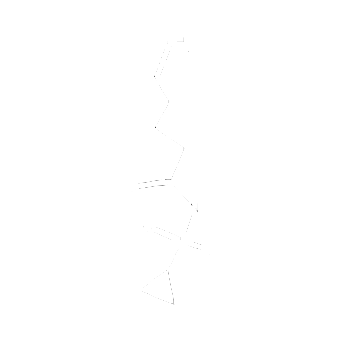 C=CCCCC(=O)NS(=O)(=O)C1CC1